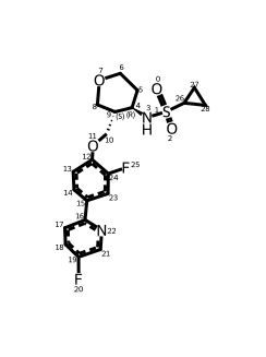 O=S(=O)(N[C@@H]1CCOC[C@H]1COc1ccc(-c2ccc(F)cn2)cc1F)C1CC1